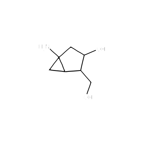 NC12CC(O)C(CO)C1C2